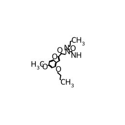 CCCCOc1cc(OC)cc2oc(C(=O)Cn3nc(CC)oc3=N)cc12